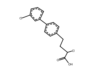 O=C(O)C(Cl)CCc1ccc(-c2cccc(Cl)c2)cc1